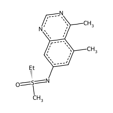 CC[S@](C)(=O)=Nc1cc(C)c2c(C)ncnc2c1